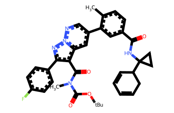 Cc1ccc(C(=O)NC2(C3C=CC=CC3)CC2)cc1-c1cnn2nc(-c3ccc(F)cc3)c(C(=O)N(C)C(=O)OC(C)(C)C)c2c1